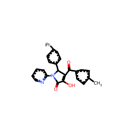 Cc1ccc(C(=O)C2=C(O)C(=O)N(c3ccccn3)C2c2ccc(C(C)C)cc2)cc1